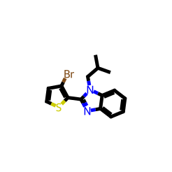 CC(C)Cn1c(-c2sccc2Br)nc2ccccc21